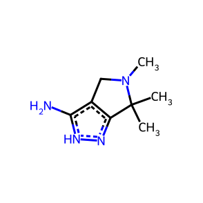 CN1Cc2c(n[nH]c2N)C1(C)C